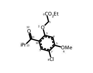 CCOC(=O)COc1cc(OC)c(Cl)cc1C(=O)C(C)C